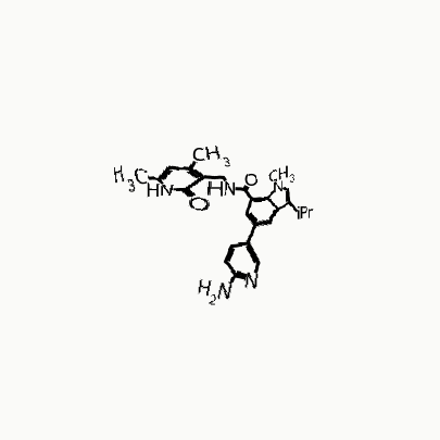 Cc1cc(C)c(CNC(=O)c2cc(-c3ccc(N)nc3)cc3c(C(C)C)cn(C)c23)c(=O)[nH]1